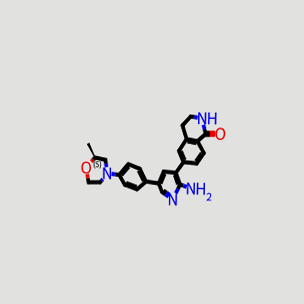 C[C@H]1CN(c2ccc(-c3cnc(N)c(-c4ccc5c(c4)CCNC5=O)c3)cc2)CCO1